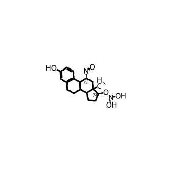 CC12C[C@H](N=O)C3c4ccc(O)cc4CCC3C1CC[C@@H]2ON(O)O